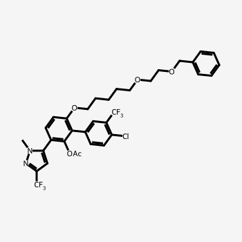 CC(=O)Oc1c(-c2cc(C(F)(F)F)nn2C)ccc(OCCCCCOCCOCc2ccccc2)c1-c1ccc(Cl)c(C(F)(F)F)c1